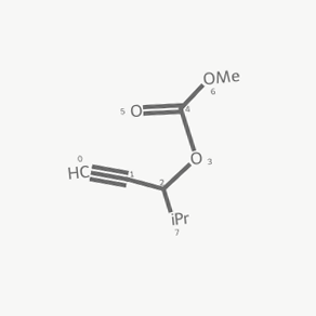 C#CC(OC(=O)OC)C(C)C